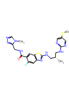 CSc1cnc(NC[C@H](C)CNc2nc3cc(F)c(C(=O)NCc4nncn4C)cc3s2)nc1